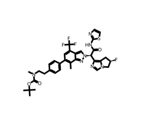 Cc1c(-c2ccc(CCN(C)C(=O)OC(C)(C)C)cc2)cc(C(F)(F)F)c2cn([C@@H](C(=O)Nc3nccs3)c3ncn4c3C[C@@H](F)C4)nc12